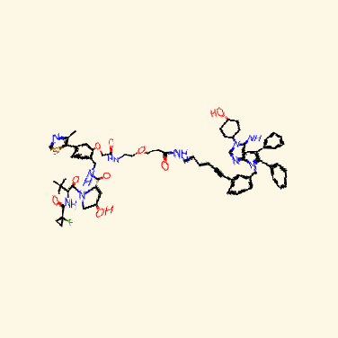 Cc1ncsc1-c1ccc(CNC(=O)[C@@H]2C[C@@H](O)CN2C(=O)[C@@H](NC(=O)C2(F)CC2)C(C)(C)C)c(OCC(=O)NCCOCCC(=O)NCCCCC#Cc2cccc(Cn3c(-c4ccccc4)c(-c4ccccc4)c4c(=N)n(C5CCC(O)CC5)cnc43)c2)c1